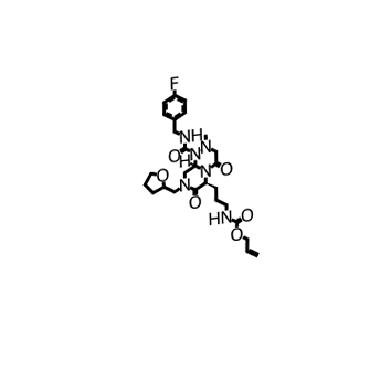 C=CCOC(=O)NCCC[C@H]1C(=O)N(CC2CCCO2)C[C@H]2N1C(=O)CN(C)N2C(=O)NCc1ccc(F)cc1